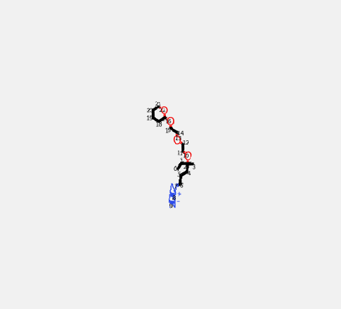 CCC(C)(CCCN=[N+]=[N-])OCCOCCOC1CCCCO1